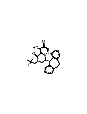 CC(F)(F)CN1C[C@H](C2c3ccccc3CCc3ccccc32)n2ncc(=O)c(O)c2C1=O